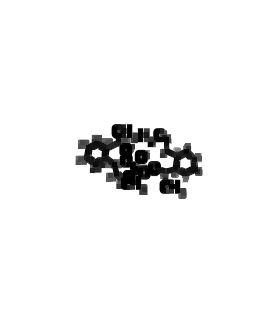 C=CCc1ccccc1C(C)OOS(=O)(=O)OOC(C)c1ccccc1CC=C